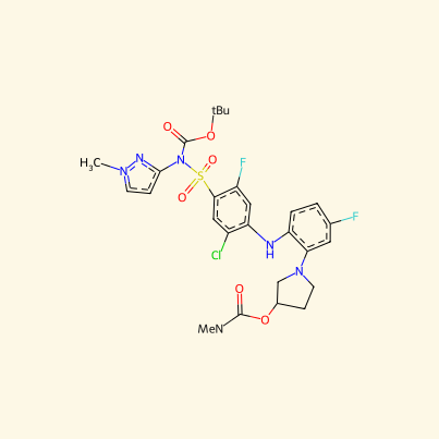 CNC(=O)OC1CCN(c2cc(F)ccc2Nc2cc(F)c(S(=O)(=O)N(C(=O)OC(C)(C)C)c3ccn(C)n3)cc2Cl)C1